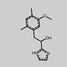 COc1cc(CC(O)c2ncc[nH]2)c(C)cc1C